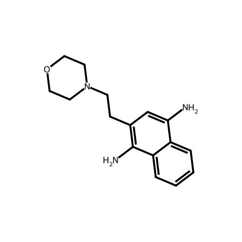 Nc1cc(CCN2CCOCC2)c(N)c2ccccc12